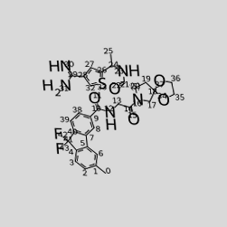 Cc1ccc2c(c1)-c1cc(C(=O)NCC(=O)N3CC4(C[C@H]3C(=O)NC(C)c3cc(C(=N)N)cs3)OCCO4)ccc1C2(F)F